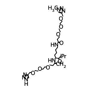 C=C(CCOCCOCCOCc1c[nH]nn1)NC(CCCCNC(=O)CCOCCOCCOCc1cn(C)nn1)C(=O)C(C)C